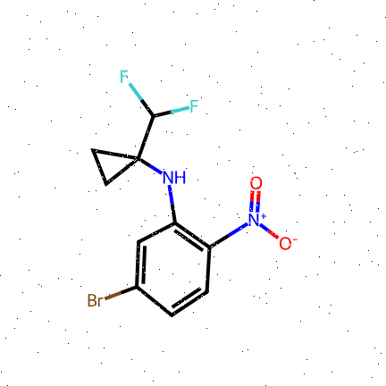 O=[N+]([O-])c1ccc(Br)cc1NC1(C(F)F)CC1